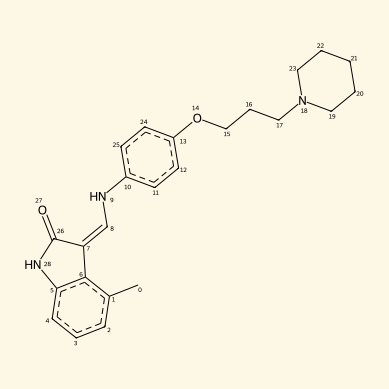 Cc1cccc2c1C(=CNc1ccc(OCCCN3CCCCC3)cc1)C(=O)N2